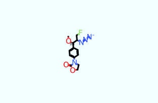 CO[C@H](c1ccc(N2CCOC2=O)cc1)C(CF)N=[N+]=[N-]